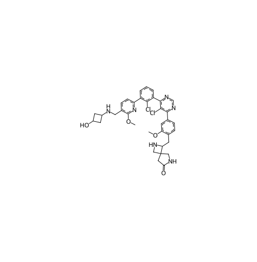 COc1cc(-c2ncnc(-c3cccc(-c4ccc(CNC5CC(O)C5)c(OC)n4)c3Cl)c2Cl)ccc1CC1NCC12CNC(=O)C2